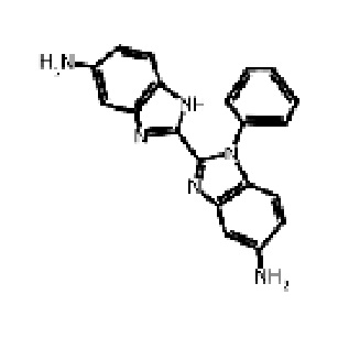 Nc1ccc2[nH]c(-c3nc4cc(N)ccc4n3-c3ccccc3)nc2c1